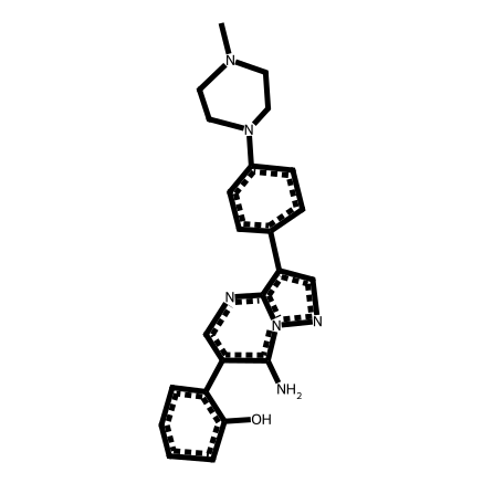 CN1CCN(c2ccc(-c3cnn4c(N)c(-c5ccccc5O)cnc34)cc2)CC1